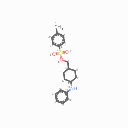 Cc1ccc(S(=O)(=O)OCC2CCC(Nc3ccccc3)CC2)cc1